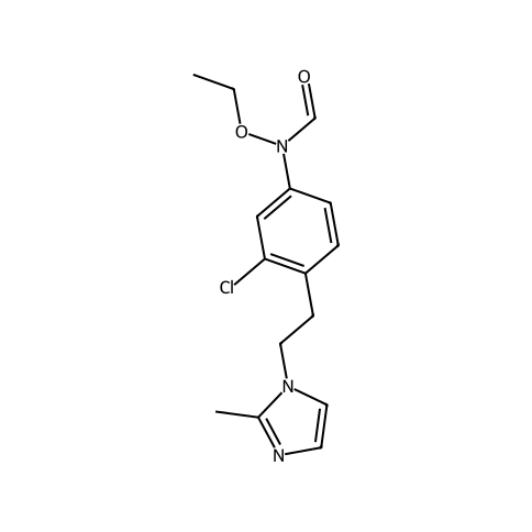 CCON(C=O)c1ccc(CCn2ccnc2C)c(Cl)c1